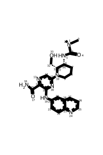 CN(C)C(=O)N[C@@H]1CCCN(c2cnc(C(N)=O)c(Nc3ccc4ncccc4c3)n2)[C@@H]1CO